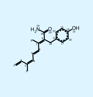 C=CC(C)=CC=CC(C)=C(Cc1ccc(O)cc1)C(N)=O